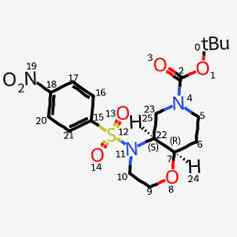 CC(C)(C)OC(=O)N1CC[C@H]2OCCN(S(=O)(=O)c3ccc([N+](=O)[O-])cc3)[C@H]2C1